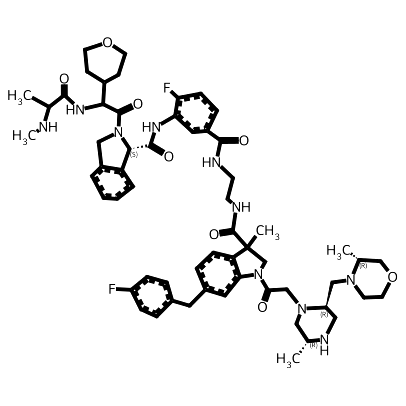 CNC(C)C(=O)NC(C(=O)N1Cc2ccccc2[C@H]1C(=O)Nc1cc(C(=O)NCCNC(=O)C2(C)CN(C(=O)CN3C[C@@H](C)NC[C@@H]3CN3CCOC[C@H]3C)c3cc(Cc4ccc(F)cc4)ccc32)ccc1F)C1CCOCC1